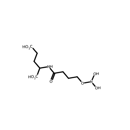 O=C(O)CCC(NC(=O)CCCON(O)O)C(=O)O